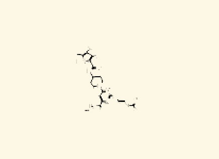 CONC(=O)c1cc(N2CCC(NC(=O)c3[nH]c(C)c(Cl)c3Cl)CC2)nc(OCCNC(=O)O)n1